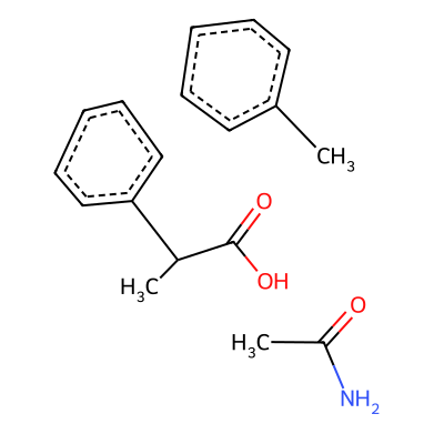 CC(C(=O)O)c1ccccc1.CC(N)=O.Cc1ccccc1